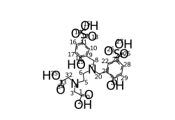 O=C(O)CN(CCN(Cc1cc(S(=O)(=O)O)ccc1O)Cc1cc(S(=O)(=O)O)ccc1O)CC(=O)O